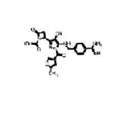 Cc1cc(C(=O)n2nc(C3CC(=O)N3C(=O)C(C)(C)C)c(C#N)c2NCc2ccc(C(=N)N)cc2)co1